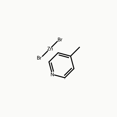 Cc1c[c]ncc1.[Br][Zn][Br]